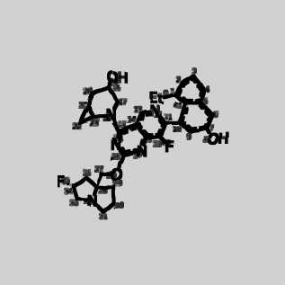 CCc1cccc2cc(O)cc(-c3ncc4c(N5CC(O)CC6CC65)nc(OC[C@@]56CCCN5C[C@H](F)C6)nc4c3F)c12